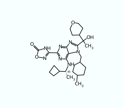 CC1CCC(Cn2c(C(C)(O)C3CCOCC3)nc3nc(-c4noc(=O)[nH]4)nc(N[C@H](C)C4CCC4)c32)CC1